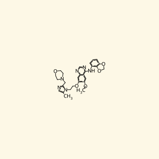 COc1cc2c(Nc3cccc4c3OCO4)ncnc2cc1OCCn1c(C)cnc1CN1CCOCC1